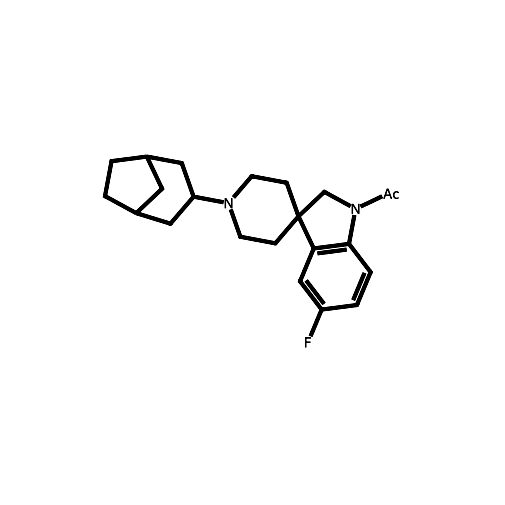 CC(=O)N1CC2(CCN(C3CC4CCC(C4)C3)CC2)c2cc(F)ccc21